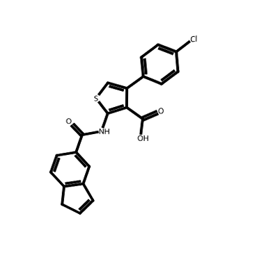 O=C(Nc1scc(-c2ccc(Cl)cc2)c1C(=O)O)c1ccc2c(c1)C=CC2